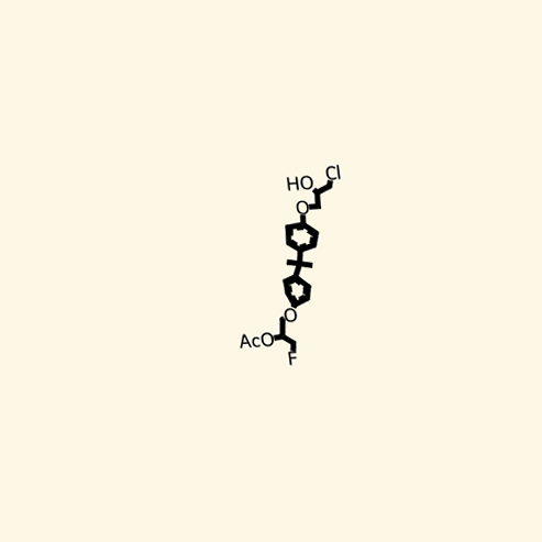 CC(=O)OC(CF)COc1ccc(C(C)(C)c2ccc(OCC(O)CCl)cc2)cc1